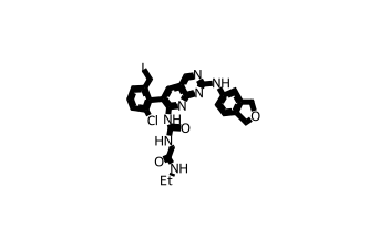 CCNC(=O)CNC(=O)Nc1nc2nc(Nc3ccc4c(c3)COC4)ncc2cc1-c1c(Cl)cccc1CI